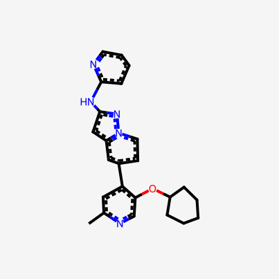 Cc1cc(-c2ccn3nc(Nc4ccccn4)cc3c2)c(OC2CCCCC2)cn1